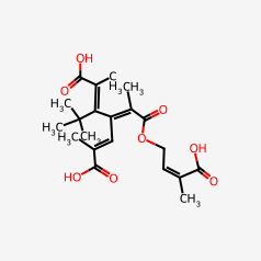 CC(=CCOC(=O)C(C)=C(C=C(C)C(=O)O)C(=C(C)C(=O)O)C(C)(C)C)C(=O)O